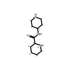 O=C(NC1CCNCC1)C1CC[CH]CN1